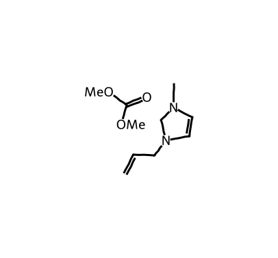 C=CCN1C=CN(C)C1.COC(=O)OC